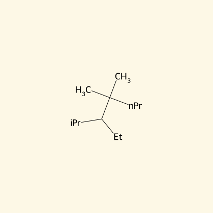 [CH2]C(C)C(CC)C(C)(C)CCC